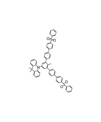 Cc1c(-c2ccc(-c3ccc(S(=O)(=O)c4ccccc4)cc3)cc2)cc(N2c3ccccc3C(C)(C)c3ccccc32)cc1-c1ccc(-c2ccc(S(=O)(=O)c3ccccc3)cc2)cc1